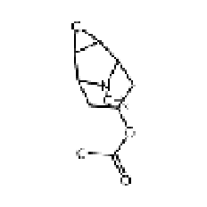 CN1C2CC(OC(=O)Cl)CC1C1OC12